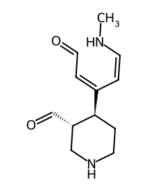 CN/C=C\C(=C/C=O)[C@H]1CCNC[C@@H]1C=O